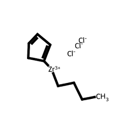 CCC[CH2][Zr+3][C]1=CC=CC1.[Cl-].[Cl-].[Cl-]